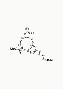 CCC(O)CN1CCCN(CC(O)CCCCOC)CCCN(C(=O)OC)CCC1